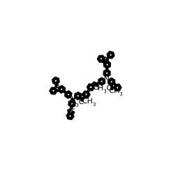 CC1(C)c2ccccc2-c2ccc(N(c3ccc(-c4ccc5c(c4)c4ccccc4n5-c4ccccc4)cc3)c3ccc(-c4cc5ccc(-c6ccc7c(c6)-c6ccc(N(c8ccc(-c9ccc%10c(c9)c9ccccc9n%10-c9ccccc9)cc8)c8ccc(-c9cc%10ccccc%10s9)cc8)cc6C7(C)C)cc5o4)cc3)cc21